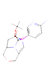 CC(C)(C)OC(=O)N1C2=CN(c3ccc(N)nc3)C(=O)CC1COC2